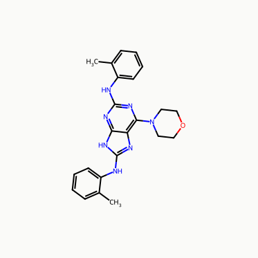 Cc1ccccc1Nc1nc(N2CCOCC2)c2nc(Nc3ccccc3C)[nH]c2n1